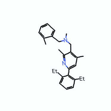 CCc1cccc(CC)c1-c1cc(C)c(CN(C)Cc2ccccc2C)c(C)n1